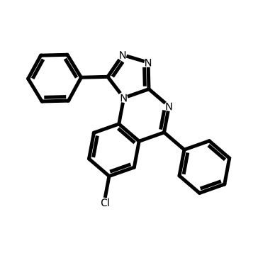 Clc1ccc2c(c1)c(-c1ccccc1)nc1nnc(-c3ccccc3)n12